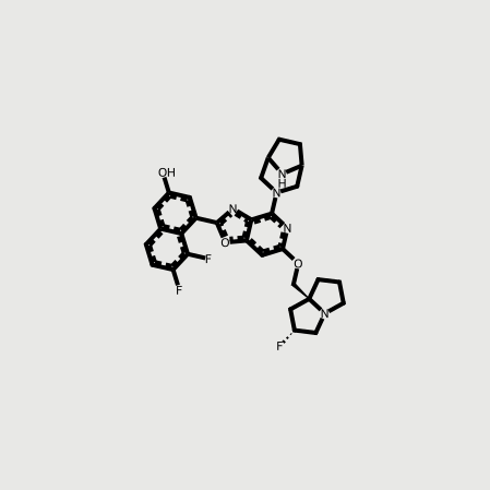 Oc1cc(-c2nc3c(N4CC5CCC(C4)N5)nc(OC[C@@]45CCCN4C[C@H](F)C5)cc3o2)c2c(F)c(F)ccc2c1